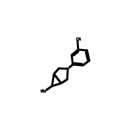 CC(C)(C)C1C2CN(c3cccc(C#N)c3)CC21